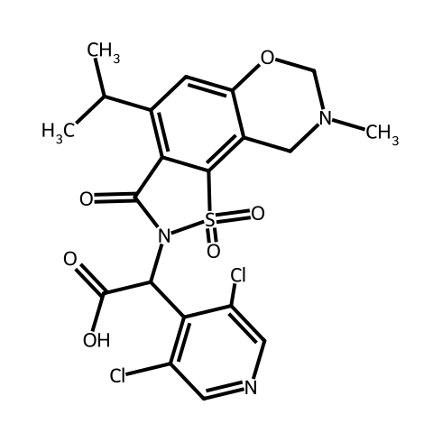 CC(C)c1cc2c(c3c1C(=O)N(C(C(=O)O)c1c(Cl)cncc1Cl)S3(=O)=O)CN(C)CO2